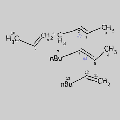 C/C=C/C.C/C=C/CCCC.C=CC.C=CCCCC